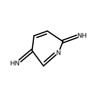 N=C1C=CC(=N)N=C1